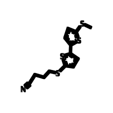 CSc1ccc(-c2ccc(SCCCC#N)s2)s1